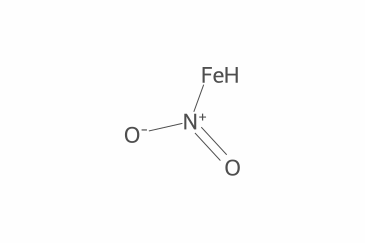 O=[N+]([O-])[FeH]